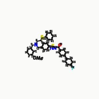 COc1cccc(CN(CCSc2ccccc2)Cc2ccc(SNC(=O)c3ccc(-c4ccc(F)cc4)cc3)cc2)c1